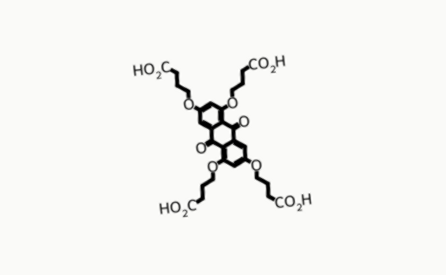 O=C(O)CCCOc1cc(OCCCC(=O)O)c2c(c1)C(=O)c1c(OCCCC(=O)O)cc(OCCCC(=O)O)cc1C2=O